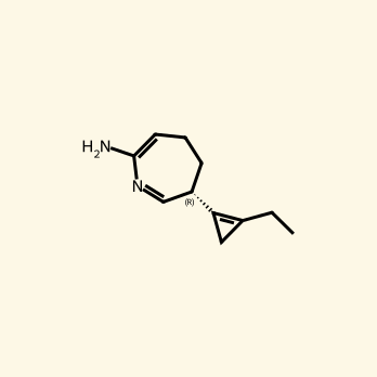 CCC1=C([C@@H]2C=NC(N)=CCC2)C1